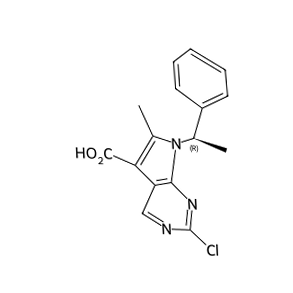 Cc1c(C(=O)O)c2cnc(Cl)nc2n1[C@H](C)c1ccccc1